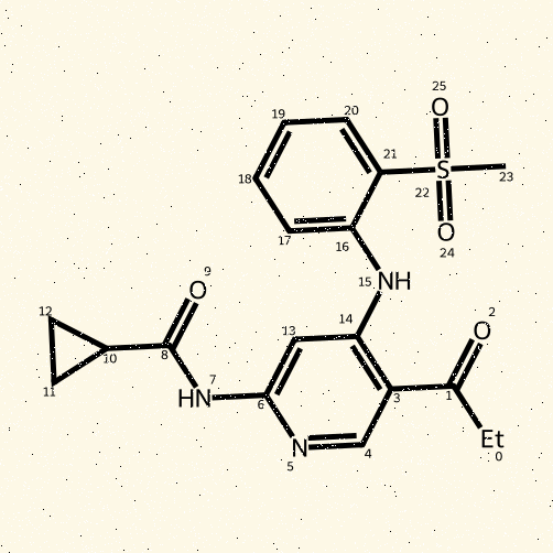 CCC(=O)c1cnc(NC(=O)C2CC2)cc1Nc1ccccc1S(C)(=O)=O